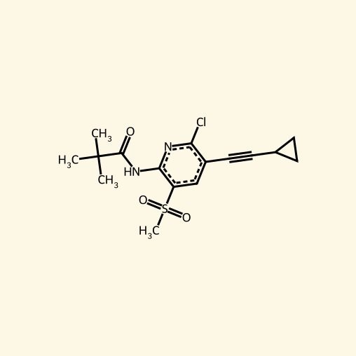 CC(C)(C)C(=O)Nc1nc(Cl)c(C#CC2CC2)cc1S(C)(=O)=O